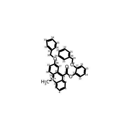 C[n+]1c2ccccc2c(C(=O)Oc2ccccc2OCc2ccccc2)c2cc(OCc3ccccc3)ccc21